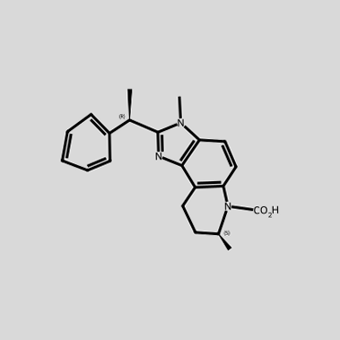 C[C@H](c1ccccc1)c1nc2c3c(ccc2n1C)N(C(=O)O)[C@@H](C)CC3